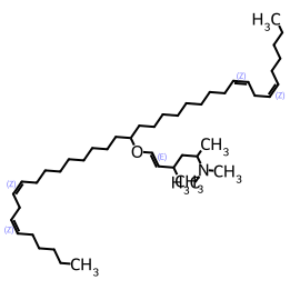 CCCCC/C=C\C/C=C\CCCCCCCCC(CCCCCCCC/C=C\C/C=C\CCCCC)O/C=C/C(C)CC(C)N(C)C